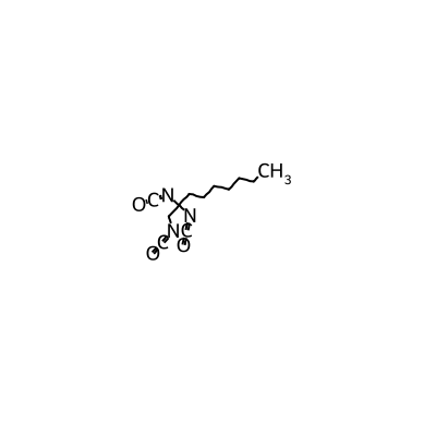 CCCCCCCC(CN=C=O)(N=C=O)N=C=O